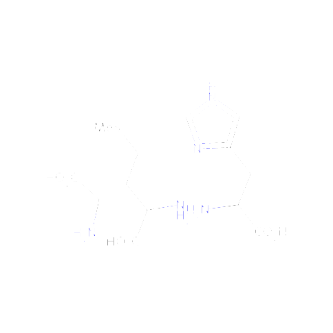 CSCCC(N)C(=O)O.NC(Cc1c[nH]cn1)C(=O)O.NCC(=O)O